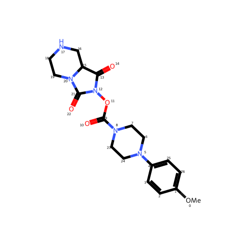 COc1ccc(N2CCN(C(=O)ON3C(=O)C4CNCCN4C3=O)CC2)cc1